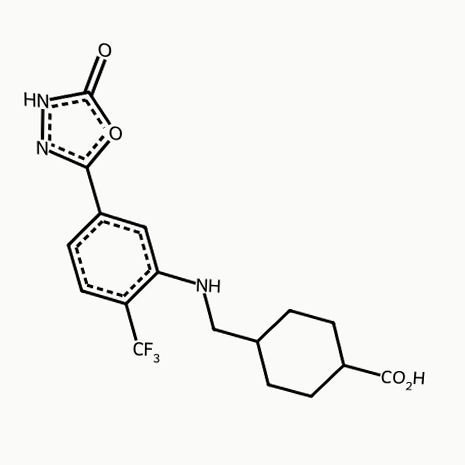 O=C(O)C1CCC(CNc2cc(-c3n[nH]c(=O)o3)ccc2C(F)(F)F)CC1